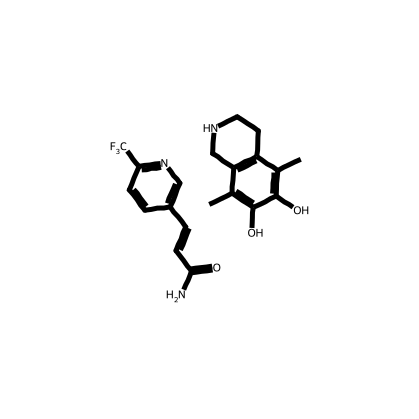 Cc1c(O)c(O)c(C)c2c1CCNC2.NC(=O)/C=C/c1ccc(C(F)(F)F)nc1